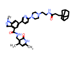 Cc1cc(C)c(CNC(=O)c2cc(-c3ccc(N4CCN(CCNC(=O)CCC56CC7CC(CC(C7)C5)C6)CC4)nc3)cc3c2cnn3C(C)C)c(=O)[nH]1